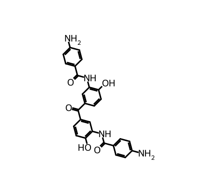 Nc1ccc(C(=O)Nc2cc(C(=O)c3ccc(O)c(NC(=O)c4ccc(N)cc4)c3)ccc2O)cc1